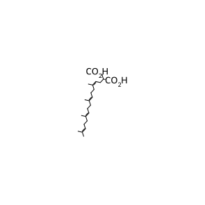 CC(C)=CCC/C(C)=C/CC/C(C)=C/CC/C(C)=C\CC(CC(=O)O)C(=O)O